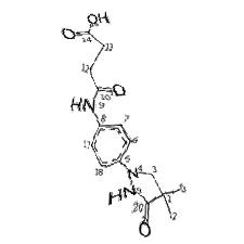 CC1(C)CN(c2ccc(NC(=O)CCC(=O)O)cc2)NC1=O